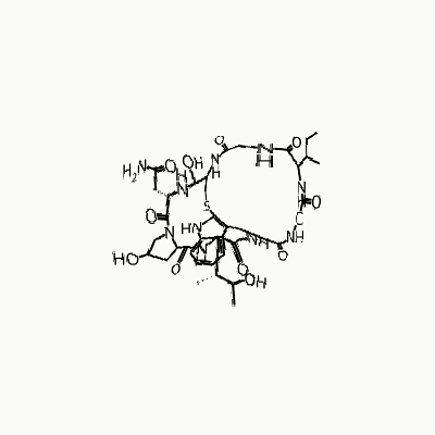 CCC(C)C1NC(=O)CNC(=O)C2Cc3c([nH]c4ccccc34)SCC(NC(=O)CNC1=O)C(O)N[C@@H](CC(N)=O)C(=O)N1CC(O)CC1C(=O)NC([C@@H](C)C(C)O)C(=O)N2